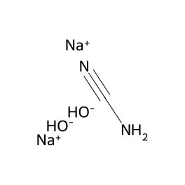 N#CN.[Na+].[Na+].[OH-].[OH-]